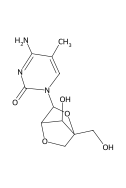 Cc1cn(C2OC3(CO)COC2C3O)c(=O)nc1N